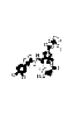 CC(C)(C)OC(=O)N1CC(C(=O)NNC(=O)C(F)(F)c2ccc(Cl)c(Cl)c2)C2(C1)CN(C(=O)[C@H]1CC1(C)C)C2